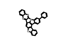 c1ccc(-c2ccc3c4c5c(cc6c7nc8ccccc8nc7n(c3c2)c64)oc2ccccc25)cc1